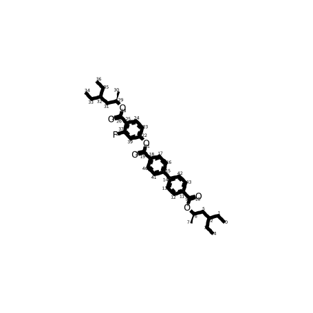 CCC(CC)C[C@@H](C)OC(=O)c1ccc(-c2ccc(C(=O)Oc3ccc(C(=O)O[C@H](C)CC(CC)CC)c(F)c3)cc2)cc1